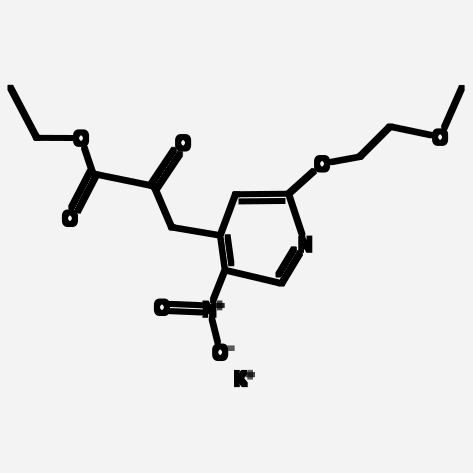 CCOC(=O)C(=O)Cc1cc(OCCOC)ncc1[N+](=O)[O-].[K+]